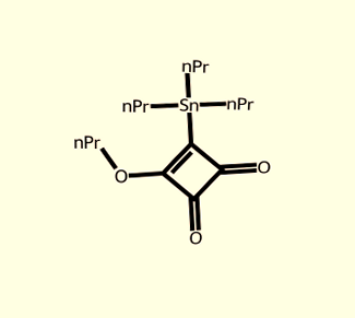 CCCOc1[c]([Sn]([CH2]CC)([CH2]CC)[CH2]CC)c(=O)c1=O